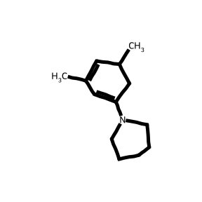 CC1=CC(C)CC(N2CCCCC2)=C1